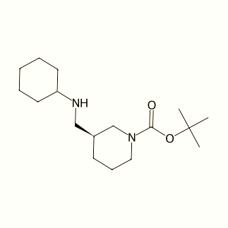 CC(C)(C)OC(=O)N1CCC[C@@H](CNC2CCCCC2)C1